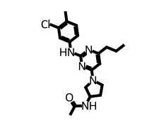 CCCc1cc(N2CCC(NC(C)=O)C2)nc(Nc2ccc(C)c(Cl)c2)n1